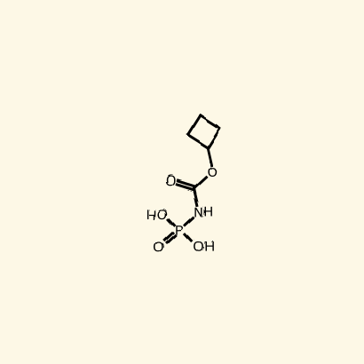 O=C(NP(=O)(O)O)OC1CCC1